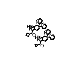 O=C(c1n[nH]c2c1C=CC(c1ccccn1)(c1ccccn1)C2)C1CC1.O=C(c1n[nH]c2c1C=CC(c1ccccn1)(c1ccccn1)C2)C1CCC1